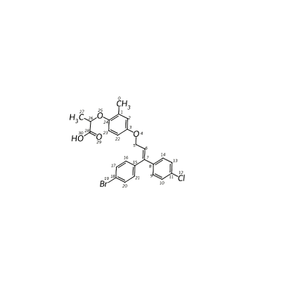 Cc1cc(OCC=C(c2ccc(Cl)cc2)c2ccc(Br)cc2)ccc1OC(C)C(=O)O